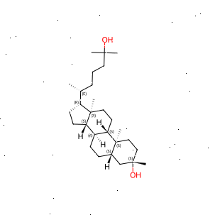 C[C@H](CCCC(C)(C)O)[C@H]1CC[C@H]2[C@@H]3CC[C@H]4C[C@@](C)(O)CC[C@]4(C)[C@H]3CC[C@]12C